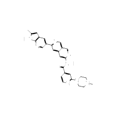 Cc1cc2cc(-c3cc4cc(NC(=O)c5ccnc(N6CCN(C)CC6)c5)ncc4cn3)cnc2[nH]1